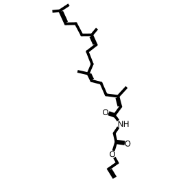 C=CCOC(=O)CNC(=O)C=C(C)CCC=C(C)CCC=C(C)CCC=C(C)C